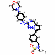 CN(Cc1cccc(-c2ccc3cnc(Nc4ccc(N5CCOCC5)cc4)nn23)c1)[SH](=O)=O